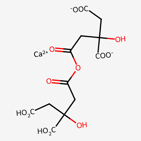 O=C([O-])CC(O)(CC(=O)OC(=O)CC(O)(CC(=O)O)C(=O)O)C(=O)[O-].[Ca+2]